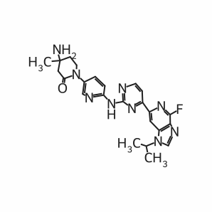 CC(C)n1cnc2c(F)nc(-c3ccnc(Nc4ccc(N5CCC(C)(N)CC5=O)cn4)n3)cc21